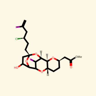 C=C(I)C[C@H](Cl)CC[C@]12CC(O)C(O1)C1O[C@H]3CC[C@H](CC(=O)OC)O[C@@H]3[C@H](O2)C1I